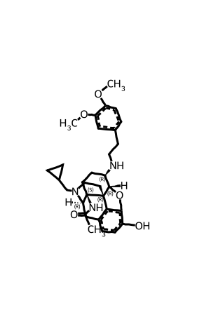 COc1ccc(CCN[C@@H]2CC[C@@]3(NC(C)=O)[C@H]4Cc5ccc(O)c6c5[C@@]3(CCN4CC3CC3)[C@H]2O6)cc1OC